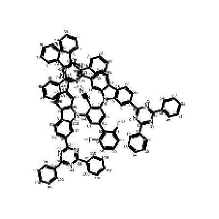 N#Cc1c(-n2c3cc(-c4nc(-c5ccccc5)nc(-c5ccccc5)n4)ccc3c3ccc(-c4nc(-c5ccccc5)nc(-c5ccccc5)n4)cc32)cc(-c2c(F)cccc2F)cc1-n1c2cc(-c3nc(-c4ccccc4)nc(-c4ccccc4)n3)ccc2c2ccc(-c3nc(-c4ccccc4)nc(-c4ccccc4)n3)cc21